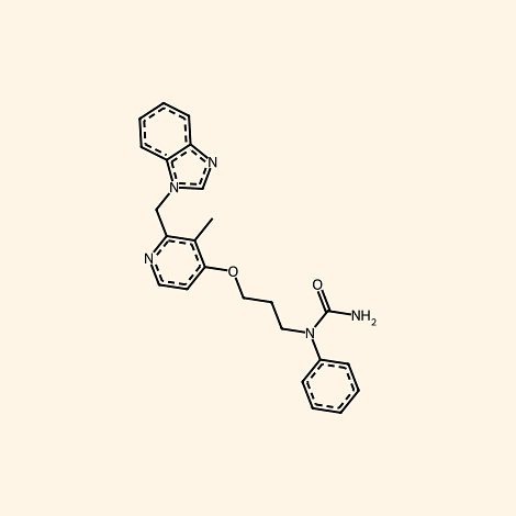 Cc1c(OCCCN(C(N)=O)c2ccccc2)ccnc1Cn1cnc2ccccc21